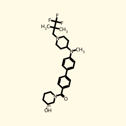 CN(c1ccc(-c2ccc(C(=O)N3CCC[C@@H](O)C3)cc2)cc1)C1CCN(CC(C)(C)C(F)(F)F)CC1